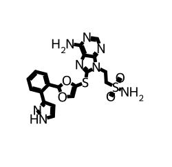 Nc1ncnc2c1nc(SC1=COC(c3ccccc3-c3cc[nH]n3)O1)n2CCS(N)(=O)=O